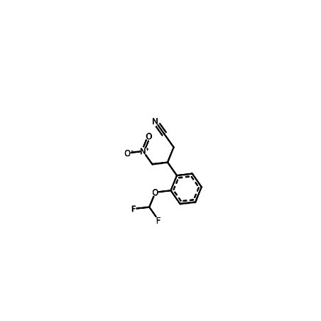 N#CCC(C[N+](=O)[O-])c1ccccc1OC(F)F